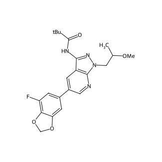 COC(C)Cn1nc(NC(=O)C(C)(C)C)c2cc(-c3cc(F)c4c(c3)OCO4)cnc21